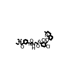 CCN(C(=O)c1cccc(NC(=O)NCC(=O)N(C)c2ccc(Cl)c(COc3cccc4ccc(C)nc34)c2Cl)c1)N(C)C